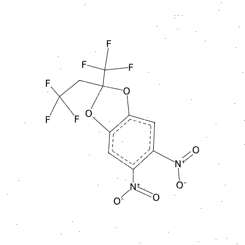 O=[N+]([O-])c1cc2c(cc1[N+](=O)[O-])OC(CC(F)(F)F)(C(F)(F)F)O2